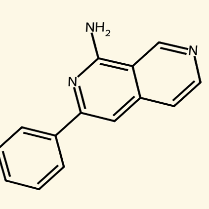 Nc1nc(-c2ccccc2)cc2ccncc12